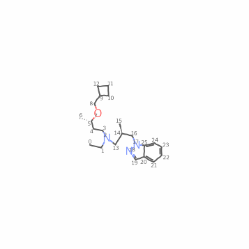 CCN(CC[C@H](C)OCC1CCC1)C[C@@H](C)Cn1ncc2ccccc21